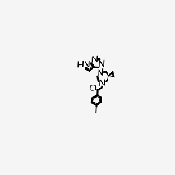 O=C(CN1CCN(c2ncnc3[nH]ccc23)CC2(CC2)C1)c1ccc(I)cc1